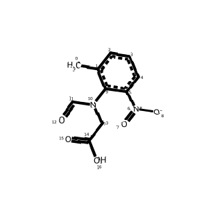 Cc1cccc([N+](=O)[O-])c1N(C=O)CC(=O)O